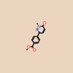 COC(=O)c1ccc(-c2ccc(=O)n(C)n2)cc1